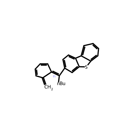 C=c1cccc/c1=C(/CCCC)c1ccc2c(c1)sc1ccccc12